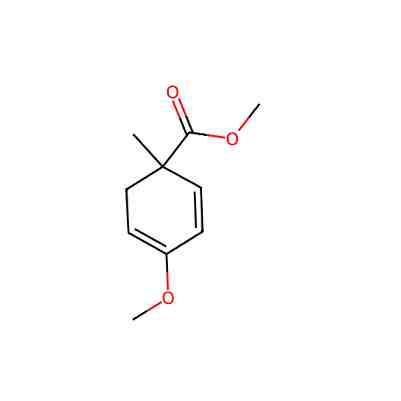 COC(=O)C1(C)C=CC(OC)=CC1